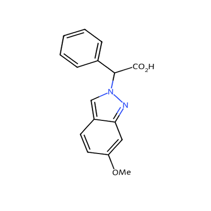 COc1ccc2cn(C(C(=O)O)c3ccccc3)nc2c1